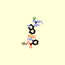 CC(C)(C)OC(=O)c1ccccc1NS(=O)(=O)c1ccc2c(NC(N)=NCl)cncc2c1